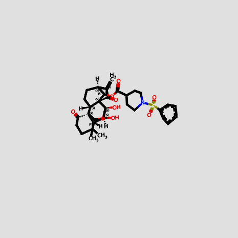 C=C1C(=O)[C@]23[C@H](OC(=O)C4CCN(S(=O)(=O)c5ccccc5)CC4)[C@H]1CC[C@H]2[C@@]12CO[C@]3(O)[C@@H](O)[C@@H]1C(C)(C)CCC2=O